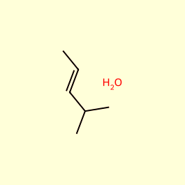 CC=CC(C)C.O